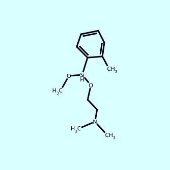 CO[SiH](OCCN(C)C)c1ccccc1C